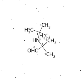 CC(C)(C)NC(C)(C)C=O